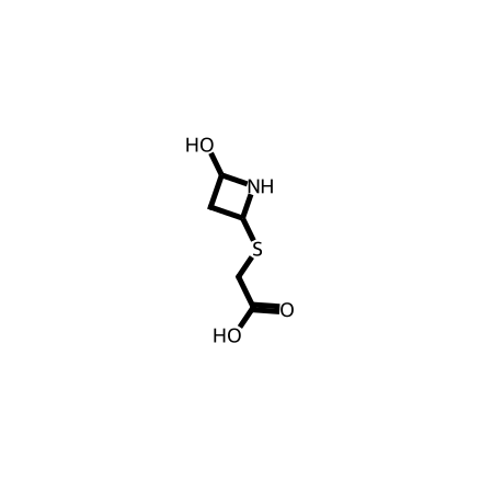 O=C(O)CSC1CC(O)N1